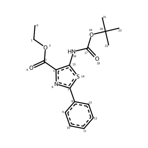 CCOC(=O)c1nc(-c2ccccc2)sc1NC(=O)OC(C)(C)C